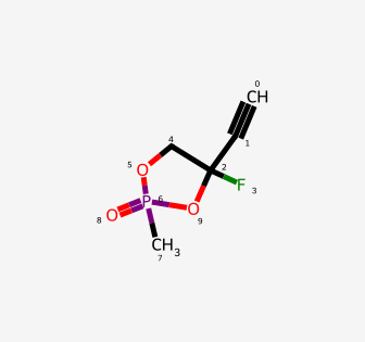 C#CC1(F)COP(C)(=O)O1